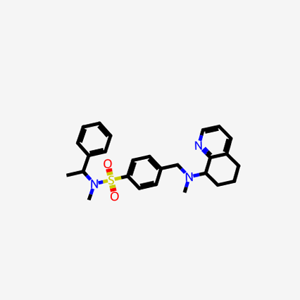 CC(c1ccccc1)N(C)S(=O)(=O)c1ccc(CN(C)C2CCCc3cccnc32)cc1